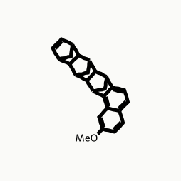 COc1ccc2ccc3c(c2c1)C1CC3C2C3CC(C4C5C=CC(C5)C34)C12